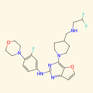 Fc1cc(Nc2nc(N3CCC(CNCC(F)F)CC3)c3occc3n2)ccc1N1CCOCC1